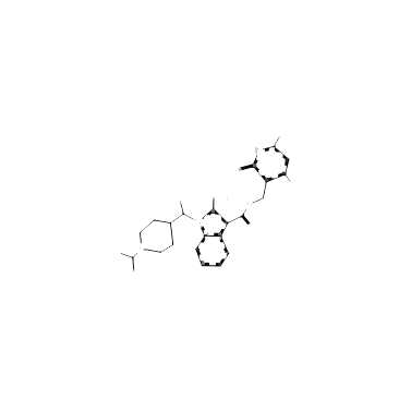 Cc1cc(C)c(CNC(=O)c2c(C)n(C(C)C3CCN(C(C)C)CC3)c3ccccc23)c(=O)[nH]1